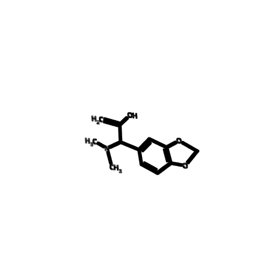 C=C(O)C(c1ccc2c(c1)OCO2)N(C)C